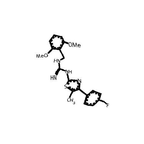 COc1cccc(OC)c1CNC(=N)Nc1nc(-c2ccc(F)cc2)c(C)s1